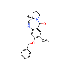 COc1cc2c(cc1OCc1ccccc1)N=C[C@@H]1CCCN1C2=O